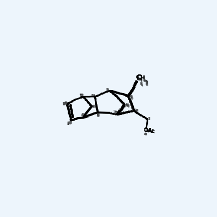 CC(=O)OCC1C(C)C2CC1C1C3C=CC(C3)C21